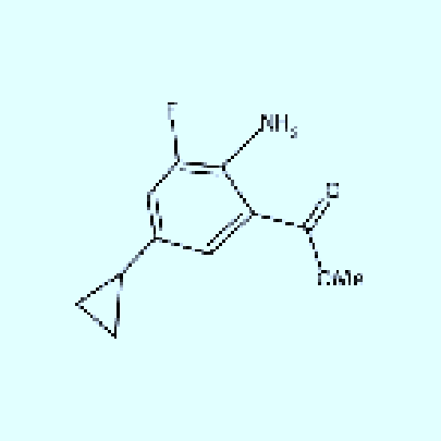 COC(=O)c1cc(C2CC2)cc(F)c1N